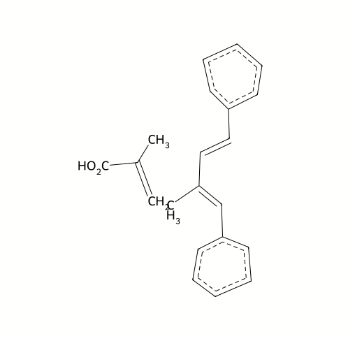 C=C(C)C(=O)O.CC(C=Cc1ccccc1)=Cc1ccccc1